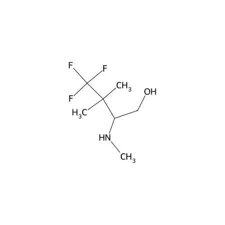 CNC(CO)C(C)(C)C(F)(F)F